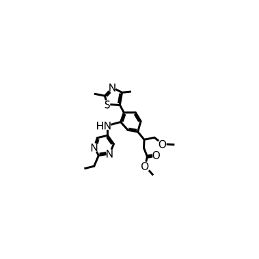 CCc1ncc(Nc2cc(C(COC)CC(=O)OC)ccc2-c2sc(C)nc2C)cn1